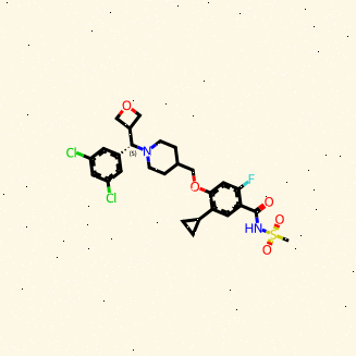 CS(=O)(=O)NC(=O)c1cc(C2CC2)c(OCC2CCN([C@H](c3cc(Cl)cc(Cl)c3)C3COC3)CC2)cc1F